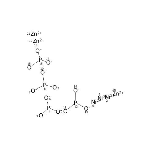 [Ni+2].[Ni+2].[Ni+2].[O-]P([O-])[O-].[O-]P([O-])[O-].[O-]P([O-])[O-].[O-]P([O-])[O-].[Zn+2].[Zn+2].[Zn+2]